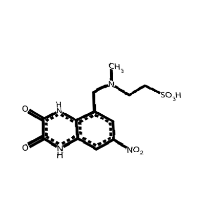 CN(CCS(=O)(=O)O)Cc1cc([N+](=O)[O-])cc2[nH]c(=O)c(=O)[nH]c12